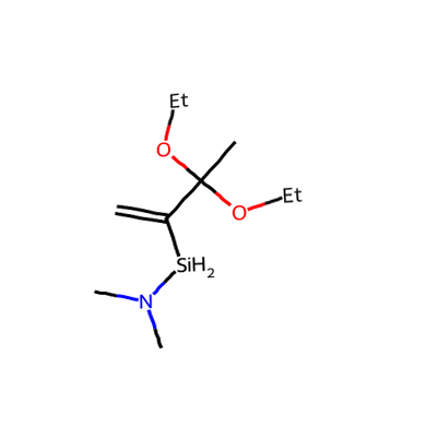 C=C([SiH2]N(C)C)C(C)(OCC)OCC